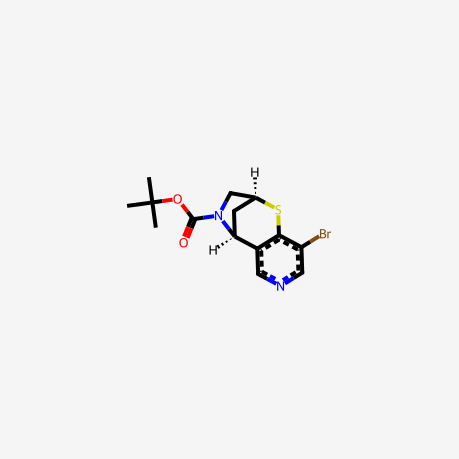 CC(C)(C)OC(=O)N1C[C@@H]2C[C@H]1c1cncc(Br)c1S2